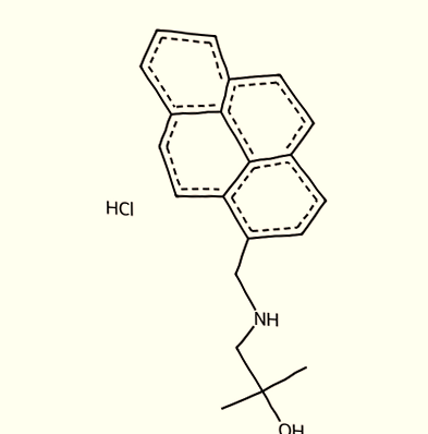 CC(C)(O)CNCc1ccc2ccc3cccc4ccc1c2c34.Cl